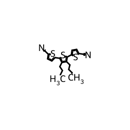 CCCCc1c(-c2ccc(C#N)s2)sc(-c2ccc(C#N)s2)c1CCCC